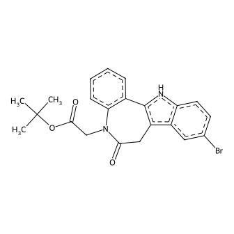 CC(C)(C)OC(=O)CN1C(=O)Cc2c([nH]c3ccc(Br)cc23)-c2ccccc21